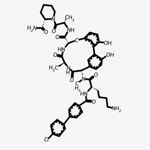 C[C@@H]1NC(=O)[C@@H](N(C)C(=O)[C@H](CCCCN)NC(=O)c2ccc(-c3ccc(Cl)cc3)cc2)c2ccc(O)c(c2)-c2cc(ccc2O)C[C@@H](C(=O)N[C@@H](C)C(=O)N2CCCC[C@H]2C(N)=O)NC1=O